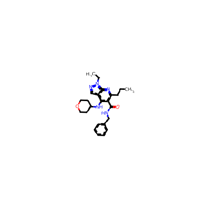 CCCc1nc2c(cnn2CC)c(NC2CCOCC2)c1C(=O)NCc1ccccc1